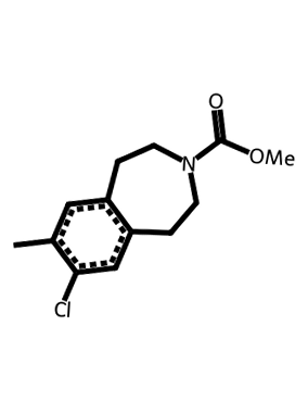 COC(=O)N1CCc2cc(C)c(Cl)cc2CC1